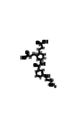 NN=CNc1cccc(C(=O)Nc2ccc(CCC(=O)O)c(CCC(=O)O)c2)c1